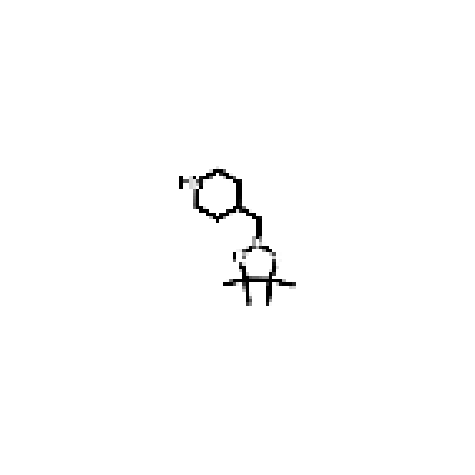 CC1(C)OB(CC2CCNCC2)OC1(C)C